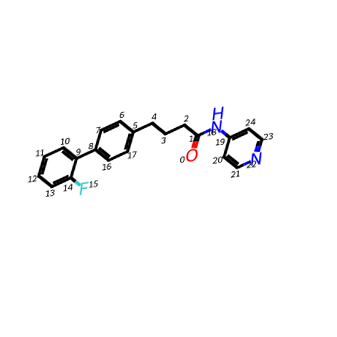 O=C(CCCc1ccc(-c2ccccc2F)cc1)Nc1ccncc1